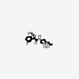 C=C(O)C[C@@H]1C[C@H](NC(=O)c2nn(C(C)C)c3ccc(F)cc23)CN1